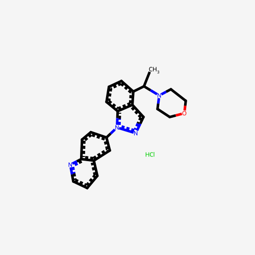 CC(c1cccc2c1cnn2-c1ccc2ncccc2c1)N1CCOCC1.Cl